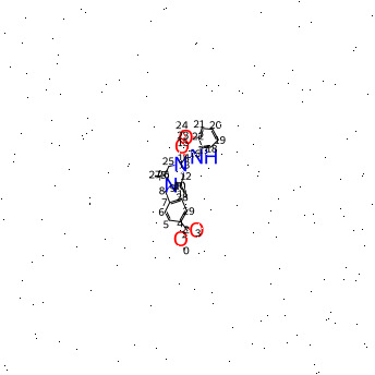 COC(=O)c1ccc(CN2[C@H](C)CN(C(=O)Nc3ccccc3OC)C[C@@H]2C)cc1